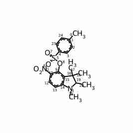 Cc1ccc(S(=O)(=O)Oc2c([N+](=O)[O-])ccc3c2C(C)(C)C(C)N3C)cc1